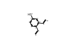 C=Cc1ccc(S)cc1C=C